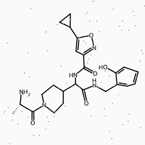 C[C@H](N)C(=O)N1CCC(C(NC(=O)c2cc(C3CC3)on2)C(=O)NCc2ccccc2O)CC1